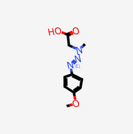 COc1ccc(/N=N/N(C)CC(=O)O)cc1